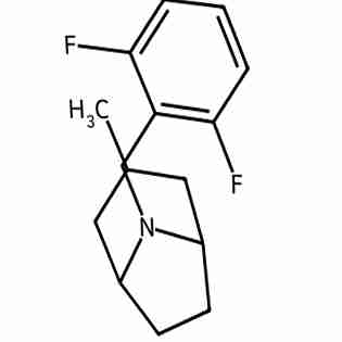 CC1CC2CCC(C1)N2Cc1c(F)cccc1F